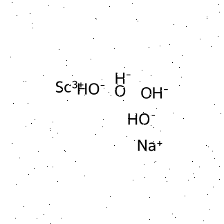 [Na+].[OH-].[OH-].[OH-].[OH-].[Sc+3]